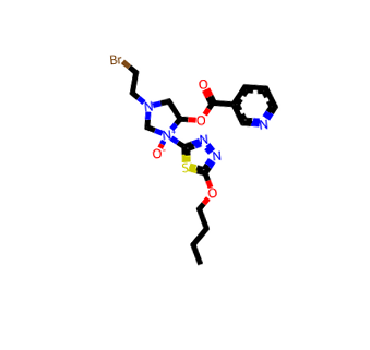 CCCCOc1nnc([N+]2([O-])CN(CCBr)CC2OC(=O)c2cccnc2)s1